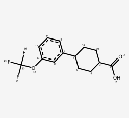 O=C(O)C1CCC(c2cccc(OC(F)(F)F)c2)CC1